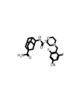 N#Cc1cc(F)c(CN2CCO[C@@H](C(=O)NC3C4CC5CC3CC(C(N)=O)(C5)C4)C2)c(F)c1